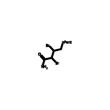 CCCCCCC(Br)C(Br)C(N)=O